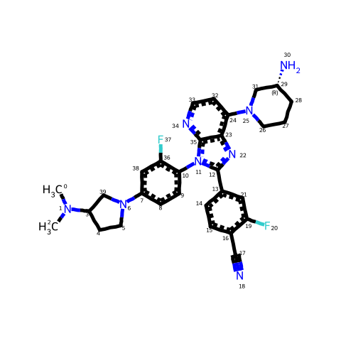 CN(C)C1CCN(c2ccc(-n3c(-c4ccc(C#N)c(F)c4)nc4c(N5CCC[C@@H](N)C5)ccnc43)c(F)c2)C1